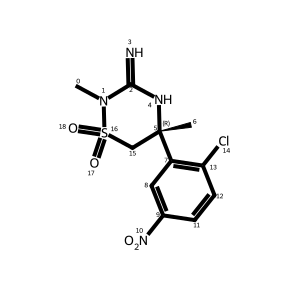 CN1C(=N)N[C@](C)(c2cc([N+](=O)[O-])ccc2Cl)CS1(=O)=O